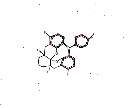 Fc1ccc(P(c2ccc(F)cc2)c2cccc3c2OC24Oc5c(cccc5P(c5ccc(F)cc5)c5ccc(F)cc5)C[C@H]2CCC[C@@H]4C3)cc1